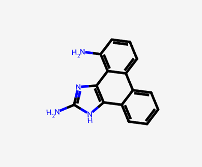 Nc1nc2c([nH]1)c1ccccc1c1cccc(N)c12